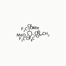 C=CC(=O)OC(c1cc(C(OC)(C(F)(F)F)C(F)(F)F)cc(C(OC)(C(F)(F)F)C(F)(F)F)c1)(C(F)(F)F)C(F)(F)F